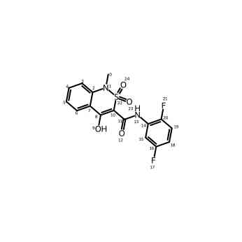 CN1c2ccccc2C(O)=C(C(=O)Nc2cc(F)ccc2F)S1(=O)=O